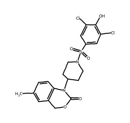 Cc1ccc2c(c1)COC(=O)N2C1CCN(S(=O)(=O)c2cc(Cl)c(O)c(Cl)c2)CC1